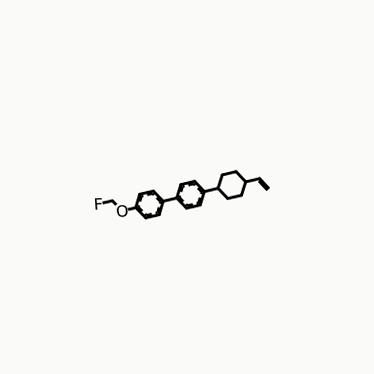 C=CC1CCC(c2ccc(-c3ccc(OCF)cc3)cc2)CC1